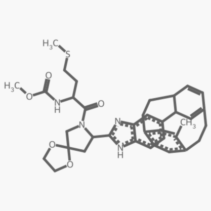 COC(=O)NC(CCSC)C(=O)N1CC2(CC1c1nc3cc(C4C=C5C=CC4CCc4ccc(c(C)c4)CC5)ccc3[nH]1)OCCO2